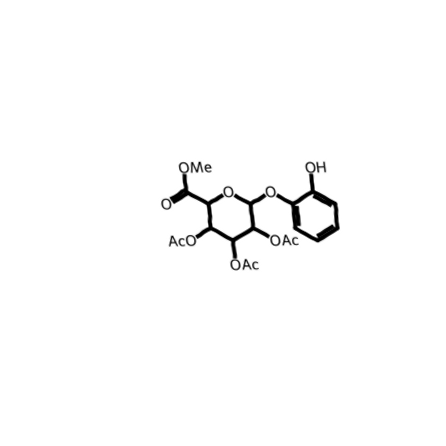 COC(=O)C1OC(Oc2ccccc2O)C(OC(C)=O)C(OC(C)=O)C1OC(C)=O